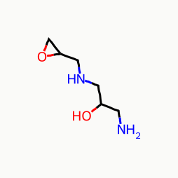 NCC(O)CNCC1CO1